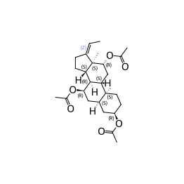 C/C=C1/CC[C@H]2[C@@H]3[C@H](OC(C)=O)C[C@@H]4C[C@H](OC(C)=O)CC[C@]4(C)[C@H]3C[C@@H](OC(C)=O)[C@]12C